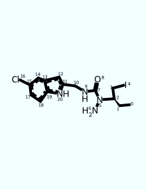 CC[C@H](CI)N(N)C(=O)NCc1cc2cc(Cl)ccc2[nH]1